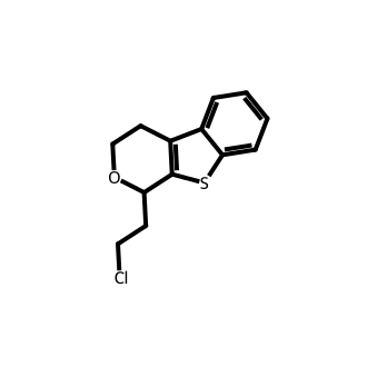 ClCCC1OCCc2c1sc1ccccc21